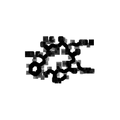 CSCC[C@H](NC(=O)[C@H](CC(C)C)NC(=O)CN)C(=O)N[C@@H](CCC(=O)O)C(=O)N[C@@H](C)C(=O)N[C@@H](Cc1ccccc1)C(=O)O